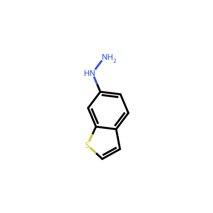 NNc1ccc2ccsc2c1